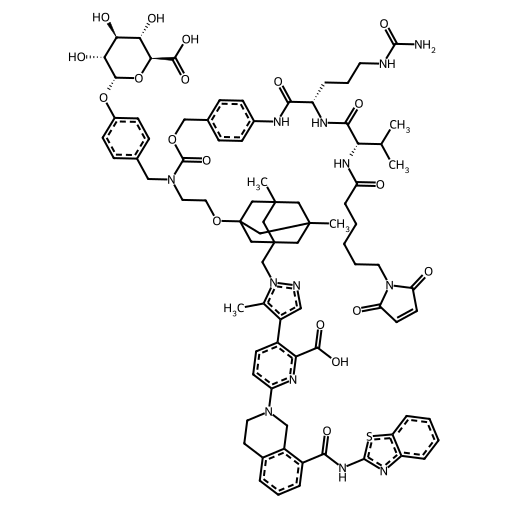 Cc1c(-c2ccc(N3CCc4cccc(C(=O)Nc5nc6ccccc6s5)c4C3)nc2C(=O)O)cnn1CC12CC3(C)CC(C)(C1)CC(OCCN(Cc1ccc(O[C@H]4O[C@H](C(=O)O)[C@@H](O)[C@H](O)[C@H]4O)cc1)C(=O)OCc1ccc(NC(=O)[C@H](CCCNC(N)=O)NC(=O)[C@@H](NC(=O)CCCCCN4C(=O)C=CC4=O)C(C)C)cc1)(C3)C2